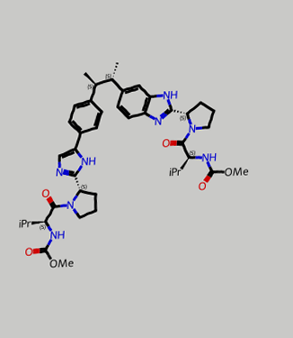 COC(=O)N[C@H](C(=O)N1CCC[C@H]1c1ncc(-c2ccc([C@@H](C)[C@H](C)c3ccc4nc([C@@H]5CCCN5C(=O)[C@@H](NC(=O)OC)C(C)C)[nH]c4c3)cc2)[nH]1)C(C)C